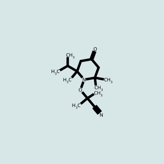 CC(C)C1(C)CC(=O)CC(C)(C)N1OC(C)(C)C#N